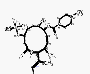 C/C(=C\I)C1OC(=O)CC(O[Si](C)(C)C(C)(C)C)CCC(C)C(OC(=O)N2CCN(C)CC2)C=CC1C